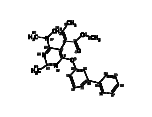 CC=C(C(=O)OC)c1c(Oc2cccc(-c3ccccc3)c2)nc(C)nc1N(C)C